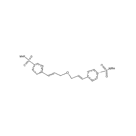 CNS(=O)(=O)c1ccc(C=CCOCC=Cc2ccc(S(=O)(=O)NC)cc2)cc1